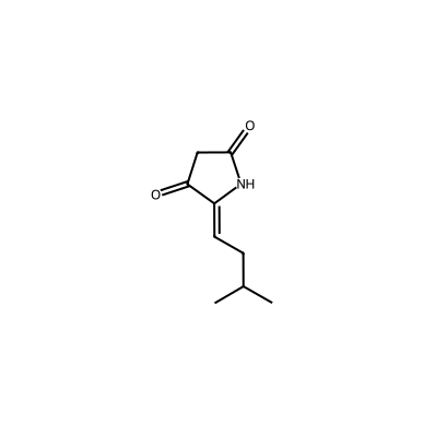 CC(C)C/C=C1\NC(=O)CC1=O